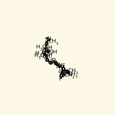 Cc1ncsc1-c1ccc([C@H](C)NC(=O)[C@@H]2C[C@@H](O)CN2C(=O)[C@@H](NC(=O)Cc2cccc(N3CCCC(C(=O)N4CCN(c5ncc(-c6cc(NC(=O)c7ccc(F)cc7C(F)(F)F)c(N7C[C@@H](C)N(C)[C@@H](C)C7)cc6F)cn5)CC4)C3)c2)C(C)(C)C)cc1